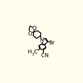 Cc1cc2c(cc1C#N)c(Br)cn2C1CCC2(CC1)OCCO2